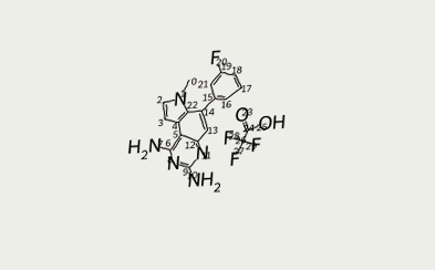 Cn1ccc2c3c(N)nc(N)nc3cc(-c3cccc(F)c3)c21.O=C(O)C(F)(F)F